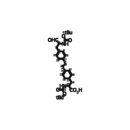 CC(C)(C)OC(=O)NC(C=O)Cc1ccc(SSC2=CCC(CC(NC(=O)OC(C)(C)C)C(=O)O)C=C2)cc1